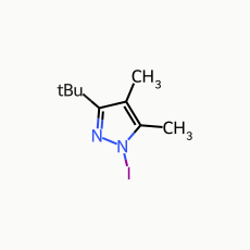 Cc1c(C(C)(C)C)nn(I)c1C